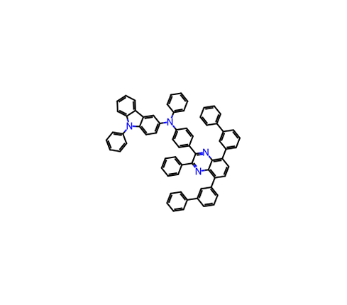 c1ccc(-c2cccc(-c3ccc(-c4cccc(-c5ccccc5)c4)c4nc(-c5ccc(N(c6ccccc6)c6ccc7c(c6)c6ccccc6n7-c6ccccc6)cc5)c(-c5ccccc5)nc34)c2)cc1